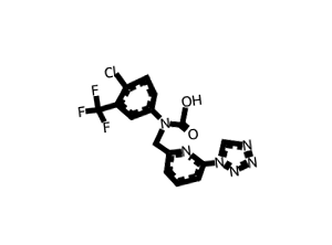 O=C(O)N(Cc1cccc(-n2cnnn2)n1)c1ccc(Cl)c(C(F)(F)F)c1